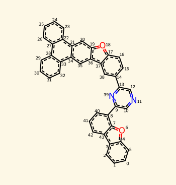 c1ccc2c(c1)oc1c(-c3cncc(-c4ccc5oc6cc7c8ccccc8c8ccccc8c7cc6c5c4)n3)cccc12